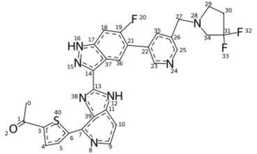 CC(=O)c1ccc(-c2nccc3[nH]c(-c4n[nH]c5cc(F)c(-c6cncc(CN7CCC(F)(F)C7)c6)cc45)nc23)s1